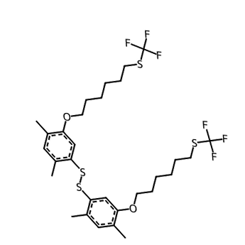 Cc1cc(C)c(SSc2cc(OCCCCCCSC(F)(F)F)c(C)cc2C)cc1OCCCCCCSC(F)(F)F